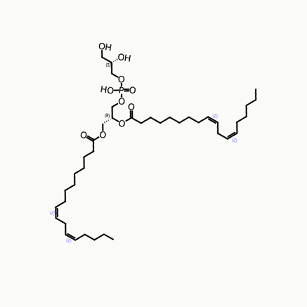 CCCC/C=C\C/C=C\CCCCCCCC(=O)OC[C@H](COP(=O)(O)OC[C@@H](O)CO)OC(=O)CCCCCCC/C=C\C/C=C\CCCCC